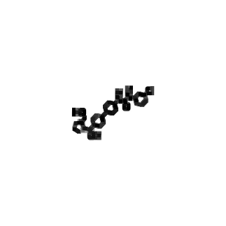 O=C(Nc1ccc(-c2ccc([C@@H](O)[C@@H]3CCC[C@H]3CO)cc2)cc1)Nc1cccc(Cl)c1